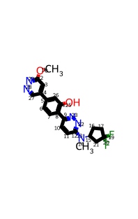 COc1cc(-c2ccc(-c3ccc(N(C)[C@@H]4CCC(F)(F)C4)nn3)c(O)c2)cnn1